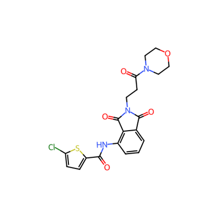 O=C(Nc1cccc2c1C(=O)N(CCC(=O)N1CCOCC1)C2=O)c1ccc(Cl)s1